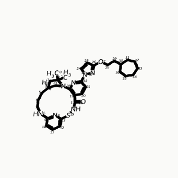 CC1(C)C[C@@H]2CCCNc3cccc(n3)SNC(=O)c3ccc(-n4ccc(OCCC5CCCCCC5)n4)nc3N1C2